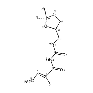 COC=C(C)C(=O)NC(=O)NCC1COC(C)(C)O1